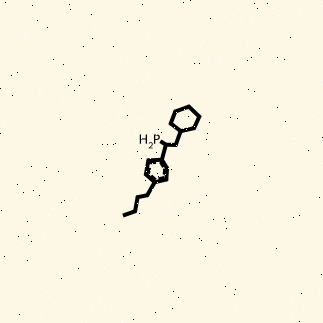 CCCCc1ccc(C(P)C[C]2CCCCC2)cc1